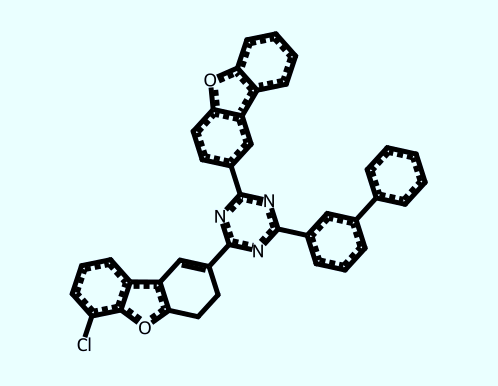 Clc1cccc2c3c(oc12)CCC(c1nc(-c2cccc(-c4ccccc4)c2)nc(-c2ccc4oc5ccccc5c4c2)n1)=C3